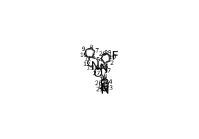 Fc1ccc([C@H]2c3ccccc3CCN2C2=NC[C@H](C34CCN(CC3)CC4)O2)cc1